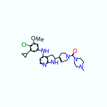 COc1cc(Nc2ccnc3c2CC(C2=CCN(C(=O)N4CCN(C)CC4)CC2)N3)cc(C2CC2)c1Cl